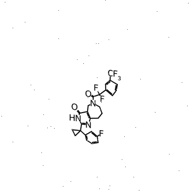 O=C(N1CCCc2nc(C3(c4cccc(F)c4)CC3)[nH]c(=O)c2C1)C(F)(F)c1cccc(C(F)(F)F)c1